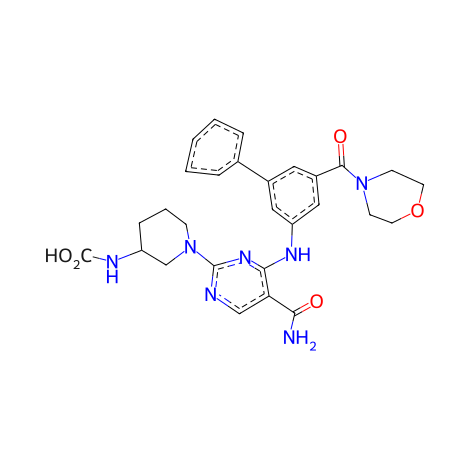 NC(=O)c1cnc(N2CCCC(NC(=O)O)C2)nc1Nc1cc(C(=O)N2CCOCC2)cc(-c2ccccc2)c1